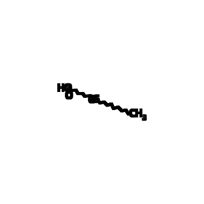 CCCCCCCCCCSOCCCCCC(=O)O